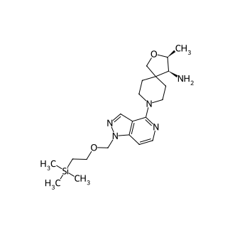 C[C@@H]1OCC2(CCN(c3nccc4c3cnn4COCC[Si](C)(C)C)CC2)[C@@H]1N